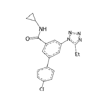 CCc1nnnn1-c1cc(C(=O)NC2CC2)cc(-c2ccc(Cl)cc2)c1